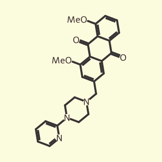 COc1cccc2c1C(=O)c1c(OC)cc(CN3CCN(c4ccccn4)CC3)cc1C2=O